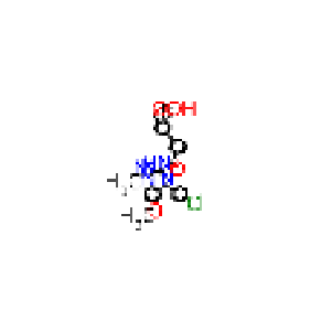 COc1ccc2c(c1)C(c1ccc(Cl)cc1)=N[C@@H](NC(=O)c1cccc(-c3ccc4c(c3)B(O)OC4)c1)c1nnc(C)n1-2